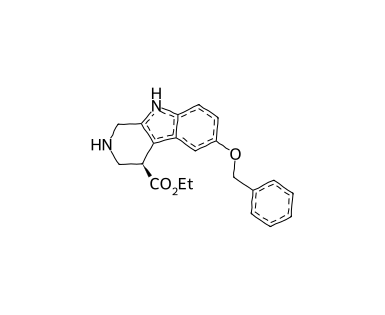 CCOC(=O)[C@H]1CNCc2[nH]c3ccc(OCc4ccccc4)cc3c21